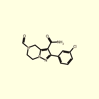 NC(=O)c1c(-c2cccc(Cl)c2)nn2c1CN(C=O)CC2